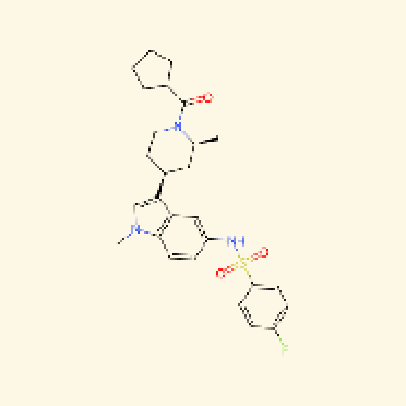 C[C@H]1C[C@@H](c2cn(C)c3ccc(NS(=O)(=O)c4ccc(F)cc4)cc23)CCN1C(=O)C1CCCC1